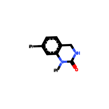 CC(C)c1ccc2c(c1)N(C(C)C)C(=O)NC2